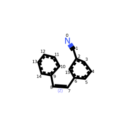 N#Cc1cccc(/C=C\c2ccccc2)c1